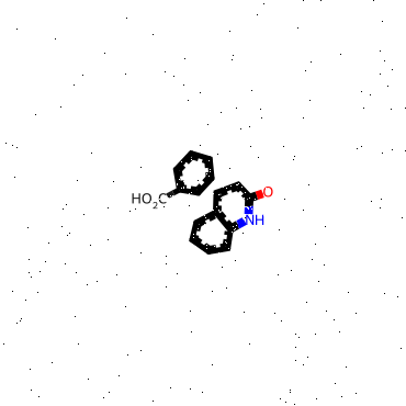 O=C(O)c1ccccc1.O=c1ccc2ccccc2[nH]1